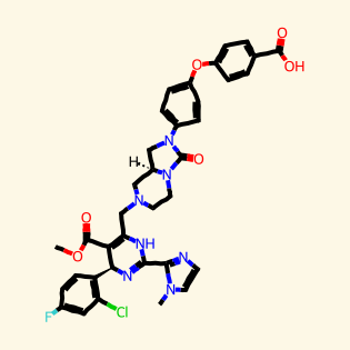 COC(=O)C1=C(CN2CCN3C(=O)N(c4ccc(Oc5ccc(C(=O)O)cc5)cc4)C[C@@H]3C2)NC(c2nccn2C)=N[C@H]1c1ccc(F)cc1Cl